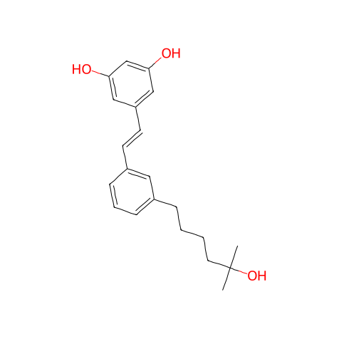 CC(C)(O)CCCCc1cccc(C=Cc2cc(O)cc(O)c2)c1